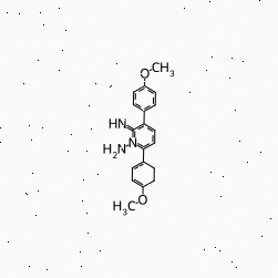 COC1=CC=C(c2ccc(-c3ccc(OC)cc3)c(=N)n2N)CC1